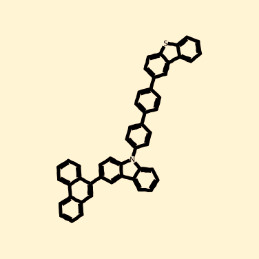 c1ccc2c(c1)cc(-c1ccc3c(c1)c1ccccc1n3-c1ccc(-c3ccc(-c4ccc5sc6ccccc6c5c4)cc3)cc1)c1ccccc12